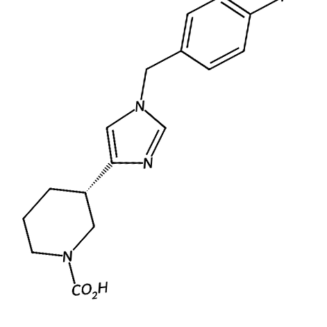 O=C(O)N1CCC[C@H](c2cn(Cc3ccc(F)cc3)cn2)C1